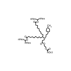 CCCCCCCCC(=O)OCCOC(=O)CCN(CCCN1CCN(C)CC1)C(CCCCCCCCC(=O)OC(CCCCCC)CCCCCC)CCCCCCCCC(=O)OC(CCCCCC)CCCCCC